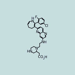 O=C(O)CC1CNCCN1CCNc1cnc2ccc(C3=C(c4cc(Cl)ccc4F)NC=CCC3)nc2c1